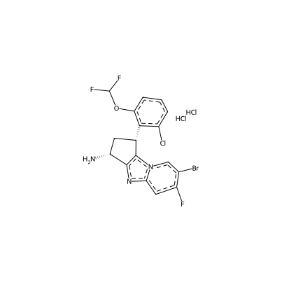 Cl.Cl.N[C@@H]1C[C@H](c2c(Cl)cccc2OC(F)F)c2c1nc1cc(F)c(Br)cn21